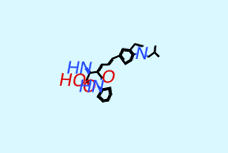 CC(C)CN1CCc2cc(/C=C/C=C(/C(=N)C(=O)O)C(=O)Nc3ccccc3)ccc21